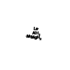 [AlH3].[La].[MgH2].[Mn]